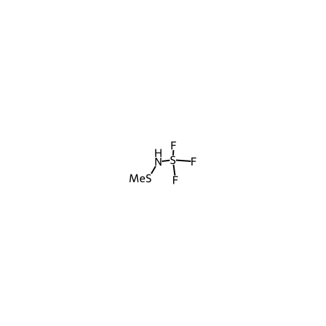 CSNS(F)(F)F